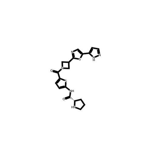 O=C(Nc1ccc(C(=O)N2CC(c3ncc(-c4ccn[nH]4)s3)C2)s1)[C@@H]1CCCN1